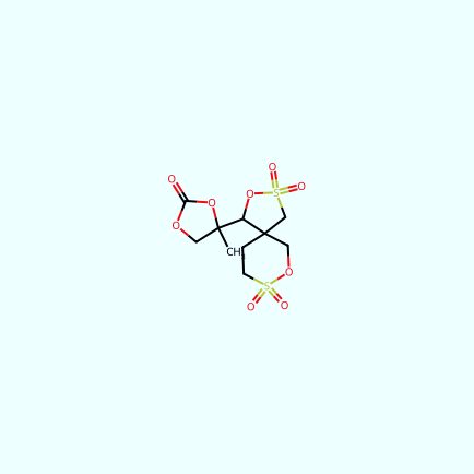 CC1(C2OS(=O)(=O)CC23CCS(=O)(=O)OC3)COC(=O)O1